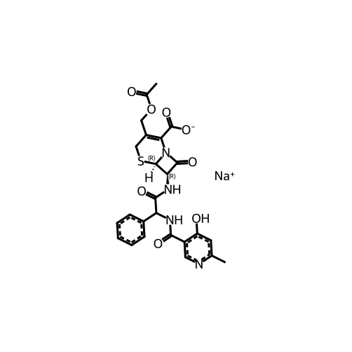 CC(=O)OCC1=C(C(=O)[O-])N2C(=O)[C@@H](NC(=O)C(NC(=O)c3cnc(C)cc3O)c3ccccc3)[C@H]2SC1.[Na+]